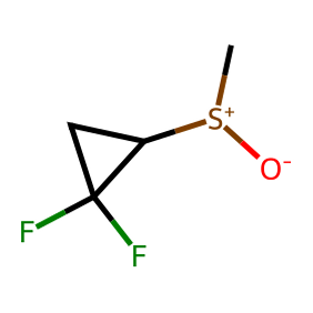 C[S+]([O-])C1CC1(F)F